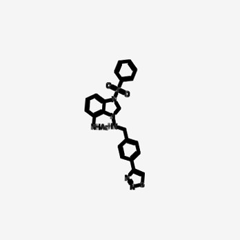 CC(=O)Nc1cccc2c1N(NCc1ccc(-c3csnn3)cc1)CN2S(=O)(=O)c1ccccc1